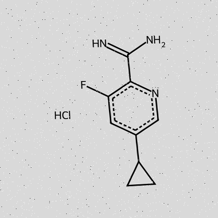 Cl.N=C(N)c1ncc(C2CC2)cc1F